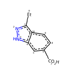 CCc1n[nH]c2cc(C(=O)O)ccc12